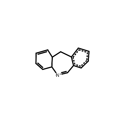 C1=CC2Cc3ccccc3C=[N+]C2C=C1